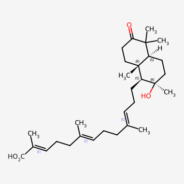 C/C(=C\CC/C(C)=C/CC[C@H]1[C@]2(C)CCC(=O)C(C)(C)[C@H]2CC[C@@]1(C)O)CC/C=C(\C)C(=O)O